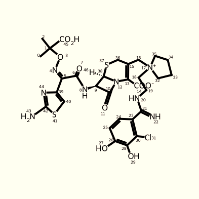 CC(C)(O/N=C(\C(=O)N[C@@H]1C(=O)N2C(C(=O)[O-])=C(C[N+]3(CCNC(=N)c4ccc(O)c(O)c4Cl)CCCC3)CS[C@H]12)c1csc(N)n1)C(=O)O